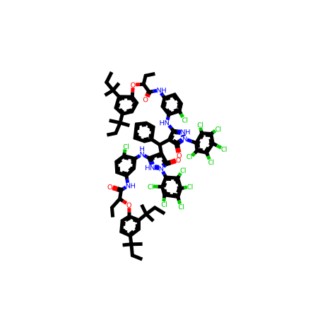 CCC(Oc1ccc(C(C)(C)CC)cc1C(C)(C)CC)C(=O)Nc1ccc(Cl)c(Nc2[nH]n(-c3c(Cl)c(Cl)c(Cl)c(Cl)c3Cl)c(=O)c2C(c2ccccc2)c2c(Nc3cc(NC(=O)C(CC)Oc4ccc(C(C)(C)CC)cc4C(C)(C)CC)ccc3Cl)[nH]n(-c3c(Cl)c(Cl)c(Cl)c(Cl)c3Cl)c2=O)c1